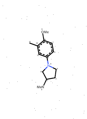 CNC1CCN(c2ccc(OC)c(C)c2)C1